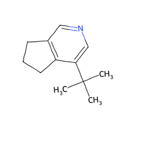 CC(C)(C)c1cncc2c1CCC2